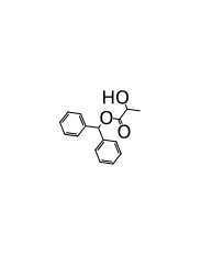 CC(O)C(=O)OC(c1ccccc1)c1ccccc1